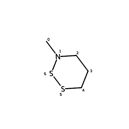 CN1CCCSS1